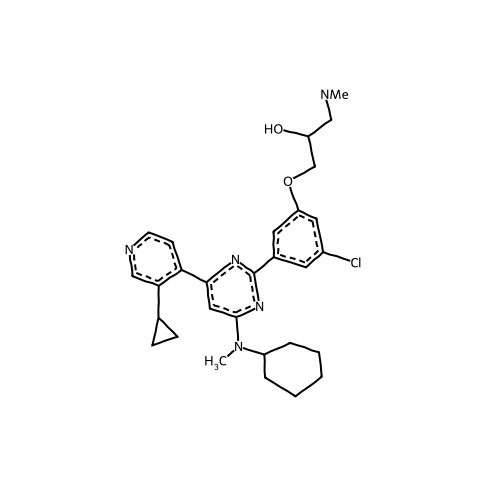 CNCC(O)COc1cc(Cl)cc(-c2nc(-c3ccncc3C3CC3)cc(N(C)C3CCCCC3)n2)c1